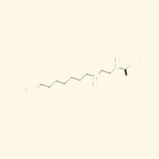 CCCCCCCCNCCNC(C)=O